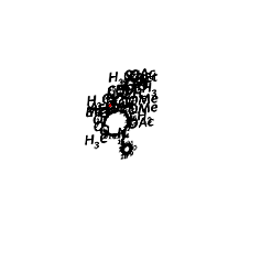 CCC(=O)O[C@@H]1CC(=O)O[C@H](C)CCN(CCc2ccccc2)C[C@H](OC(C)=O)[C@H](C)C[C@H](CC(OC)OC)[C@H]([C@@H]2O[C@H](C)[C@@H](O[C@@H]3C[C@@](C)(OC(C)=O)[C@@H](OC(=O)CC)[C@H](C)O3)[C@H](N(C)C)[C@H]2OC(C)=O)[C@@H]1OC